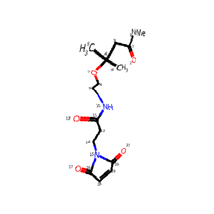 CNC(=O)CC(C)(C)OCCNC(=O)CCN1C(=O)C=CC1=O